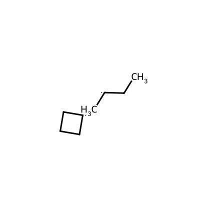 C[CH]CC.[CH]1CCC1